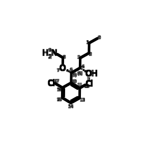 CCCC[C@H](O)[C@@H](OCN)c1c(Cl)cccc1Cl